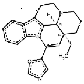 CC[C@@]12C=C(c3cnco3)n3c4c(c5ccccc53)CCN(CCC1)[C@H]42